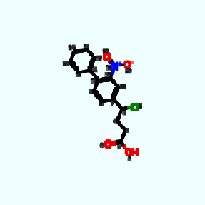 O=C(O)CCC(Cl)c1ccc(-c2ccccc2)c([N+](=O)[O-])c1